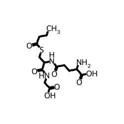 CCCC(=O)SCC(NC(=O)CCC(N)C(=O)O)C(=O)NCC(=O)O